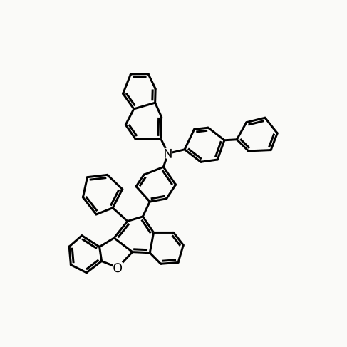 c1ccc(-c2ccc(N(c3ccc(-c4c(-c5ccccc5)c5c6ccccc6oc5c5ccccc45)cc3)c3ccc4ccccc4c3)cc2)cc1